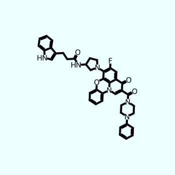 O=C(CCc1c[nH]c2ccccc12)NC1CCN(c2c(F)cc3c(=O)c(C(=O)N4CCN(c5ccccc5)CC4)cn4c3c2Oc2ccccc2-4)C1